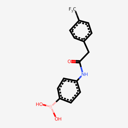 O=C(Cc1ccc(C(F)(F)F)cc1)Nc1ccc(B(O)O)cc1